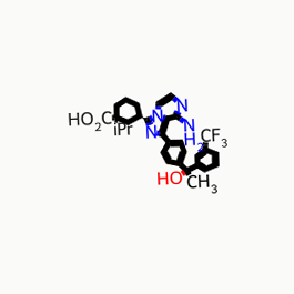 CC(C)[C@@]1(C(=O)O)CCC[C@H](c2nc(-c3ccc(C(C)(O)c4cccc(C(F)(F)F)c4)cc3)c3c(N)nccn23)C1